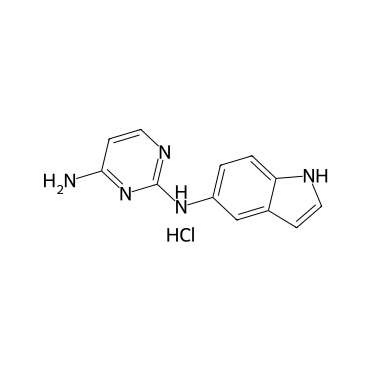 Cl.Nc1ccnc(Nc2ccc3[nH]ccc3c2)n1